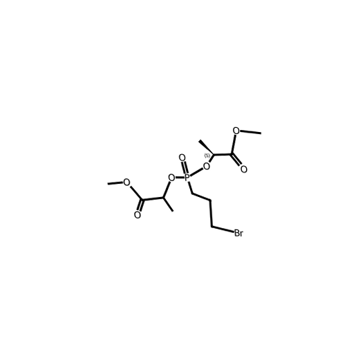 COC(=O)C(C)OP(=O)(CCCBr)O[C@@H](C)C(=O)OC